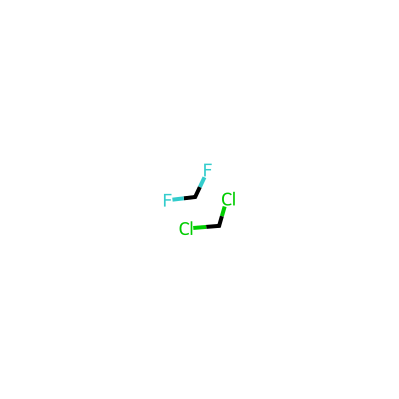 ClCCl.FCF